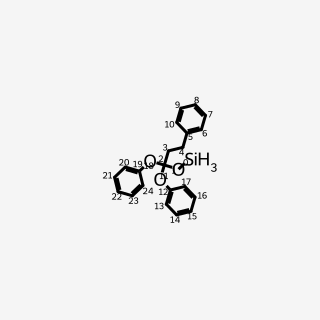 [SiH3]OC(CCc1ccccc1)(Oc1ccccc1)Oc1ccccc1